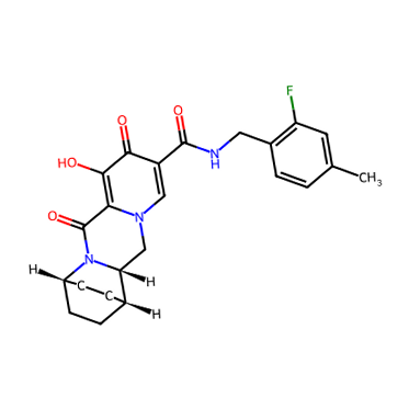 Cc1ccc(CNC(=O)c2cn3c(c(O)c2=O)C(=O)N2[C@H]4CC[C@H](CC4)[C@H]2C3)c(F)c1